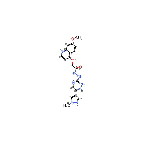 COc1ccc2c(OCC(=O)NNc3ncc(-c4cnn(C)c4)nn3)ccnc2c1